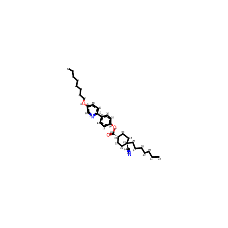 CCCCCCCCOc1ccc(-c2ccc(OC(=O)[C@H]3CC[C@@](C#N)(CCCCCCC)CC3)cc2)nc1